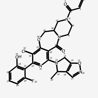 C=CC(=O)N1CCN2C(=O)c3c(N4Cc5oncc5C4C)nc(-c4c(O)cccc4F)c(Cl)c3OCC2C1